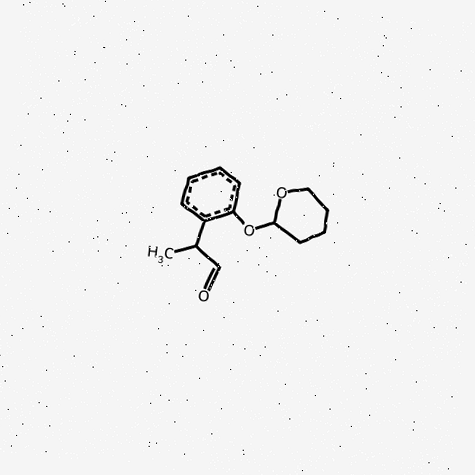 CC(C=O)c1ccccc1OC1CCCCO1